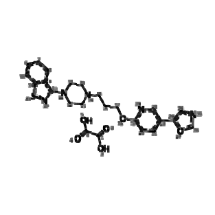 O=C(O)C(=O)O.c1ccc2c(N3CCN(CCCOc4ccc(-c5cnco5)cn4)CC3)nsc2c1